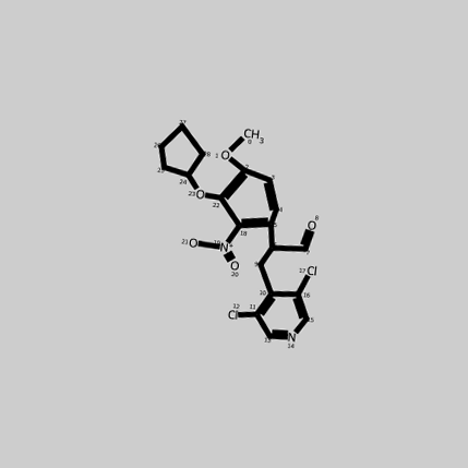 COc1ccc(C(C=O)Cc2c(Cl)cncc2Cl)c([N+](=O)[O-])c1OC1CCCC1